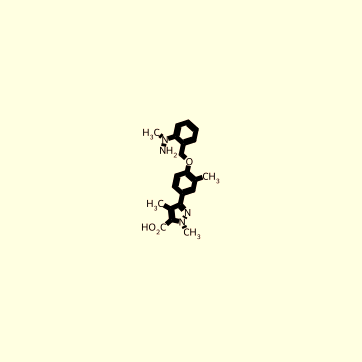 Cc1cc(-c2nn(C)c(C(=O)O)c2C)ccc1OCc1ccccc1N(C)N